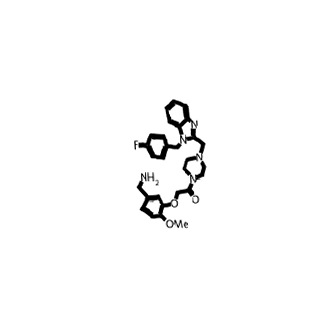 COc1ccc(CN)cc1OCC(=O)N1CCN(Cc2nc3ccccc3n2Cc2ccc(F)cc2)CC1